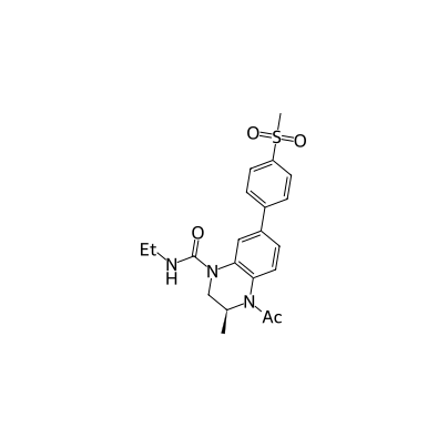 CCNC(=O)N1C[C@H](C)N(C(C)=O)c2ccc(-c3ccc(S(C)(=O)=O)cc3)cc21